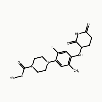 Cc1cc(N2CCN(C(=O)OC(C)(C)C)CC2)c(F)cc1NC1CCC(=O)NC1=O